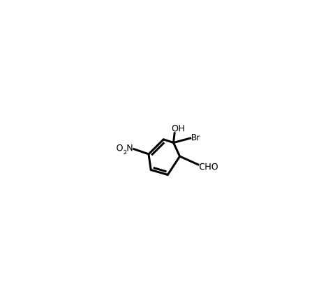 O=CC1C=CC([N+](=O)[O-])=CC1(O)Br